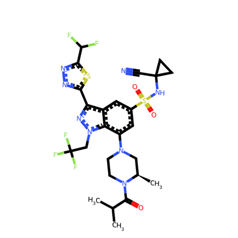 CC(C)C(=O)N1CCN(c2cc(S(=O)(=O)NC3(C#N)CC3)cc3c(-c4nnc(C(F)F)s4)nn(CC(F)(F)F)c23)C[C@H]1C